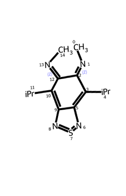 C/N=C1/C(C(C)C)=C2N=S=NC2=C(C(C)C)/C1=N/C